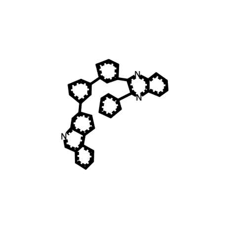 c1ccc(-c2nc3ccccc3nc2-c2cccc(-c3cccc(-c4ccc5c(c4)ncc4ccccc45)c3)c2)cc1